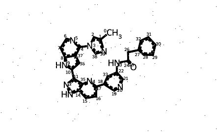 Cc1cn(-c2nccc3[nH]c(-c4n[nH]c5ccc(-c6cncc(NC(=O)Cc7ccccc7)c6)nc45)cc23)cn1